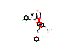 O=C(C1=C(c2ccc(CCCOc3c(F)ccc(F)c3Cl)cc2)CC2CS(=O)(=O)CC1N2C(=O)Oc1cccc(CO[N+](=O)[O-])c1)N(Cc1cccc(Cl)c1Cl)C1CC1